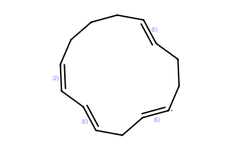 [C]1=C/C/C=C/C=C\CCC/C=C/CC/1